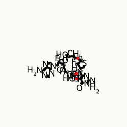 C=P1(O)CC[C@H]2SC[C@](N3NNc4c3nc(N)[nH]c4=O)(OP(O)(=S)OC[C@H]3OC(n4cnc5c(N)ncnc54)[C@@H](F)[C@@H]3O1)[C@@H]2F